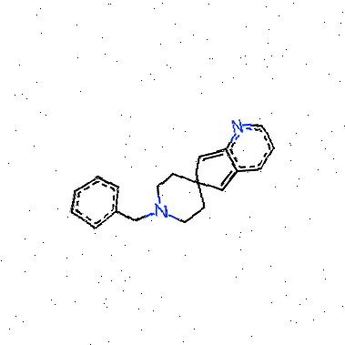 C1=c2cccnc2=CC12CCN(Cc1ccccc1)CC2